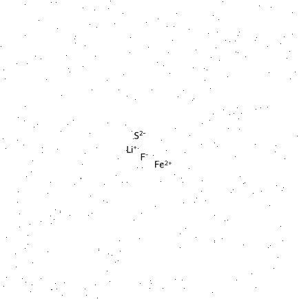 [F-].[Fe+2].[Li+].[S-2]